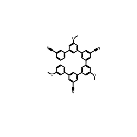 COc1cccc(-c2cc(C#N)cc(-c3cc(OC)cc(-c4cc(C#N)cc(-c5cc(OC)cc(-c6cccc(C#N)c6)c5)c4)c3)c2)c1